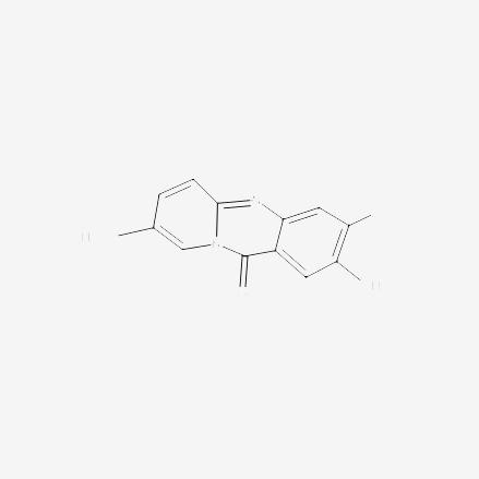 Cc1cc2nc3ccc(C(=O)O)cn3c(=O)c2cc1C